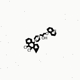 OC(COc1cccc2ncccc12)CN1CCN(C2c3ccccc3C(Cl)C(Cl)c3c2ccc2c3C2)CC1